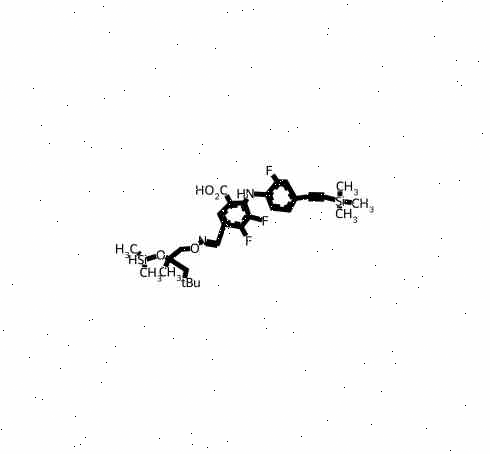 C[SiH](C)OC(C)(CON=Cc1cc(C(=O)O)c(Nc2ccc(C#C[Si](C)(C)C)cc2F)c(F)c1F)CC(C)(C)C